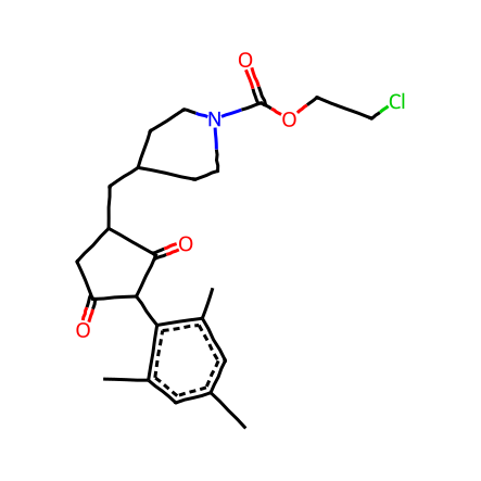 Cc1cc(C)c(C2C(=O)CC(CC3CCN(C(=O)OCCCl)CC3)C2=O)c(C)c1